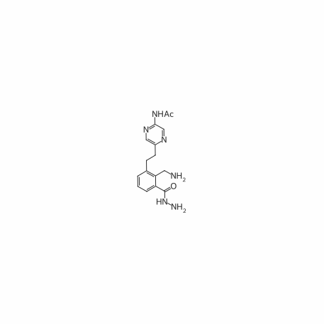 CC(=O)Nc1cnc(CCc2cccc(C(=O)NN)c2CN)cn1